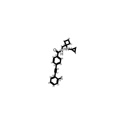 O=C(NCC1(NC2CC2)CCC1)c1ccc(C#Cc2ccccc2F)cc1